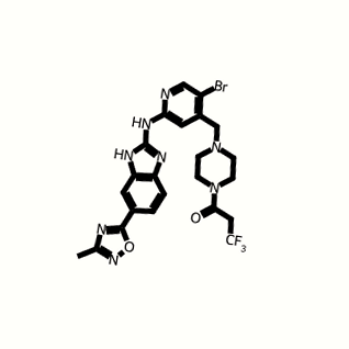 Cc1noc(-c2ccc3nc(Nc4cc(CN5CCN(C(=O)CC(F)(F)F)CC5)c(Br)cn4)[nH]c3c2)n1